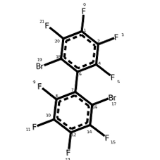 Fc1c(F)c(F)c(-c2c(F)c(F)c(F)c(F)c2Br)c(Br)c1F